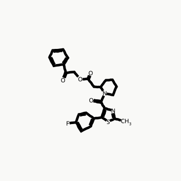 Cc1nc(C(=O)N2CCCCC2CC(=O)OCC(=O)c2ccccc2)c(-c2ccc(F)cc2)s1